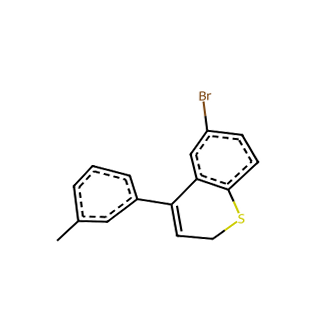 Cc1cccc(C2=CCSc3ccc(Br)cc32)c1